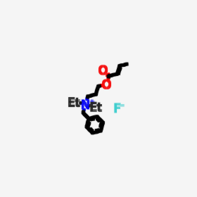 CC=CC(=O)OCCC[N+](CC)(CC)Cc1ccccc1.[F-]